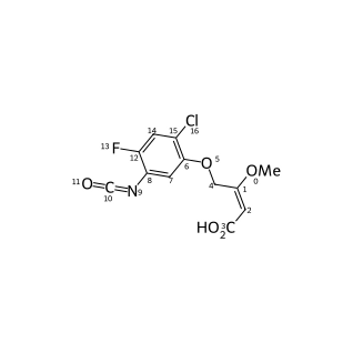 CO/C(=C/C(=O)O)COc1cc(N=C=O)c(F)cc1Cl